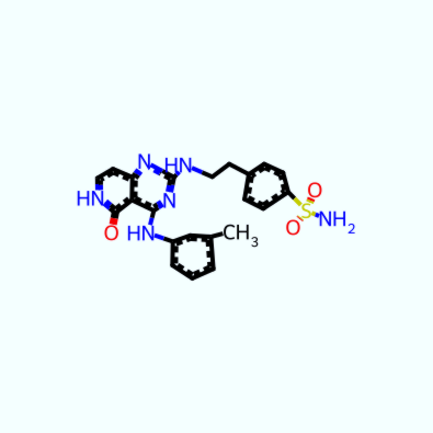 Cc1cccc(Nc2nc(NCCc3ccc(S(N)(=O)=O)cc3)nc3cc[nH]c(=O)c23)c1